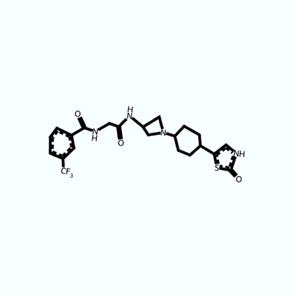 O=C(CNC(=O)c1cccc(C(F)(F)F)c1)NC1CN(C2CCC(c3c[nH]c(=O)s3)CC2)C1